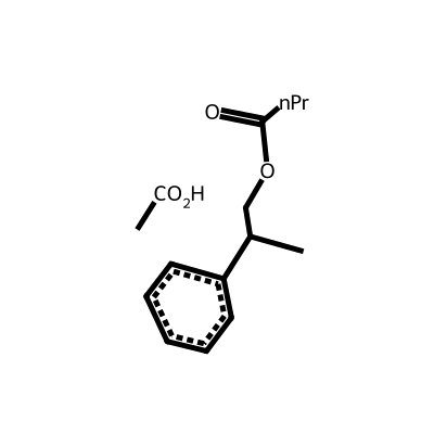 CC(=O)O.CCCC(=O)OCC(C)c1ccccc1